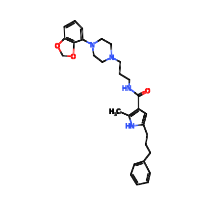 Cc1[nH]c(CCCc2ccccc2)cc1C(=O)NCCCN1CCN(c2cccc3c2OCO3)CC1